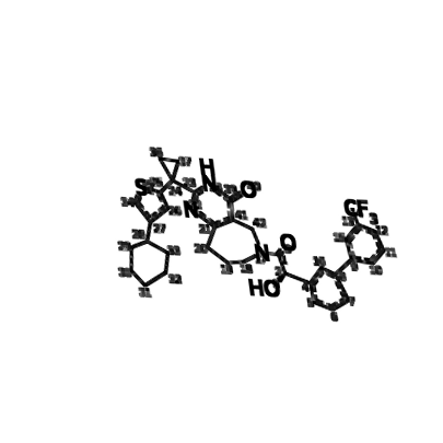 O=C([C@H](O)c1cccc(-c2cccc(C(F)(F)F)c2)c1)N1CCCc2nc(C3(c4cc(C5CCCCC5)cs4)CC3)[nH]c(=O)c2C1